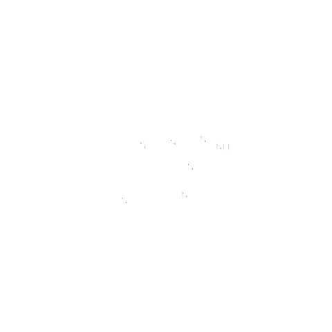 N#Cc1cccc(Nc2cc(C#N)nc(NN)n2)c1